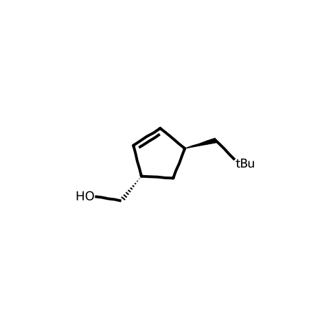 CC(C)(C)C[C@@H]1C=C[C@@H](CO)C1